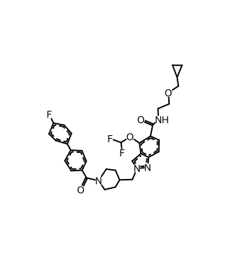 O=C(NCCOCC1CC1)c1ccc2nn(CC3CCN(C(=O)c4ccc(-c5ccc(F)cc5)cc4)CC3)cc2c1OC(F)F